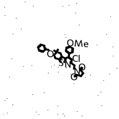 COc1ccc(-c2c(Cl)c(CCN3C(=O)CCC3=O)nc3sc4c(c23)CC(C)(C)C(OCc2ccccc2)C4)cc1